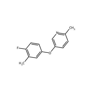 Cc1ccc(Oc2ccc(F)c(C)c2)cn1